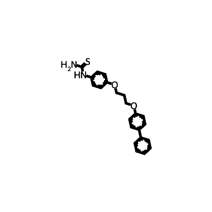 NC(=S)Nc1ccc(OCCCOc2ccc(-c3ccccc3)cc2)cc1